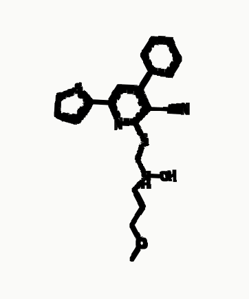 COCCC[SiH](O)CSc1nc(-c2cccs2)cc(-c2ccccc2)c1C#N